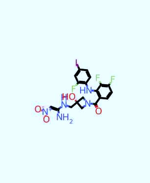 N/C(=C\[N+](=O)[O-])NCC1(O)CN(C(=O)c2ccc(F)c(F)c2Nc2ccc(I)cc2F)C1